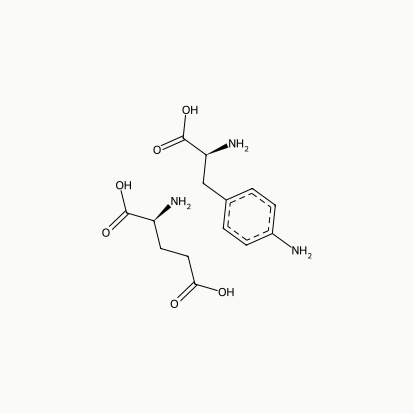 N[C@@H](CCC(=O)O)C(=O)O.Nc1ccc(C[C@H](N)C(=O)O)cc1